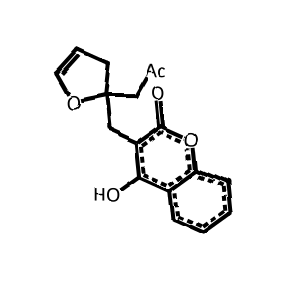 CC(=O)CC1(Cc2c(O)c3ccccc3oc2=O)CC=CO1